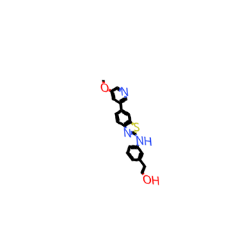 COc1cncc(-c2ccc3nc(Nc4cccc(CCO)c4)sc3c2)c1